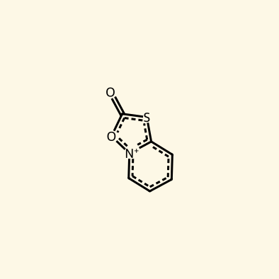 O=c1o[n+]2ccccc2s1